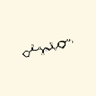 Cc1ccc(OC(=O)/C=C/C(=O)OCC(=O)C2CCCC2)cc1